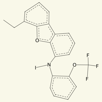 CCc1cccc2c1oc1c(N(I)c3ccccc3OC(F)(F)F)cccc12